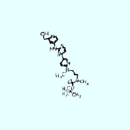 CN(CCCN(C)c1ccc(-c2ccnc(Nc3ccnc(CO)c3)n2)cn1)C(=O)OC(C)(C)C